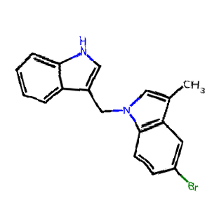 Cc1cn(Cc2c[nH]c3ccccc23)c2ccc(Br)cc12